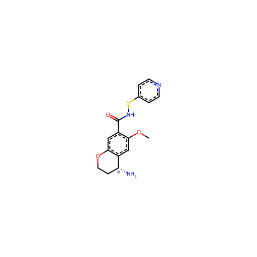 COc1cc2c(cc1C(=O)NSc1ccncc1)OCC[C@H]2N